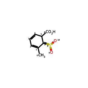 CC1=CC=CC(C(=O)O)C1=S(=O)=O